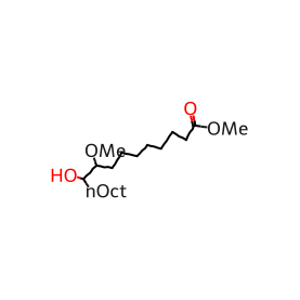 CCCCCCCCC(O)C(CCCCCCCC(=O)OC)OC